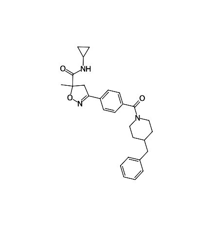 CC1(C(=O)NC2CC2)CC(c2ccc(C(=O)N3CCC(Cc4ccccc4)CC3)cc2)=NO1